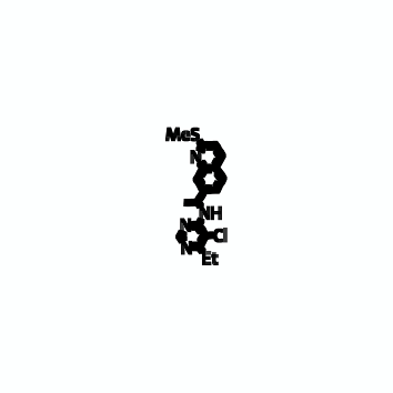 CCc1ncnc(NC(C)c2ccc3ccc(SC)nc3c2)c1Cl